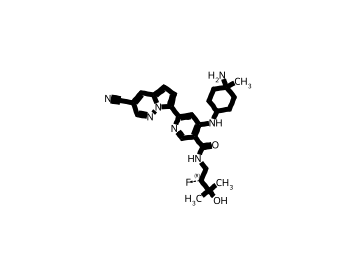 CC1(N)CCC(Nc2cc(-c3ccc4cc(C#N)cnn34)ncc2C(=O)NC[C@@H](F)C(C)(C)O)CC1